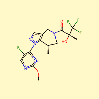 COc1ncc(F)c(-n2ncc3c2[C@H](C)CN(C(=O)[C@@](C)(O)C(F)(F)F)C3)n1